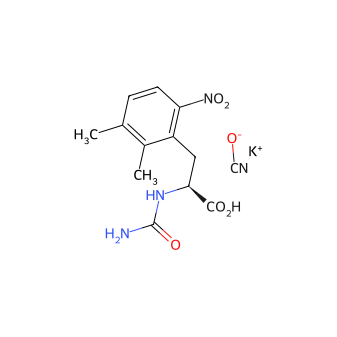 Cc1ccc([N+](=O)[O-])c(C[C@H](NC(N)=O)C(=O)O)c1C.N#C[O-].[K+]